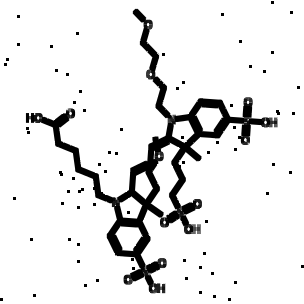 COCCOCCN1/C(=C/C=C/C2N(CCCCCC(=O)O)c3ccc(S(=O)(=O)O)cc3C2(C)CCOC)C(C)(CCCS(=O)(=O)O)c2cc(S(=O)(=O)O)ccc21